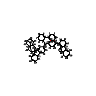 c1ccc(-c2ccccc2N(c2ccc(-c3cccc4c3oc3ccccc34)cc2)c2ccc3c(c2)C2(CC4CCC5CC4CC2C5)c2ccccc2-3)cc1